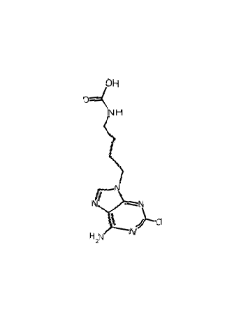 Nc1nc(Cl)nc2c1ncn2CCCCNC(=O)O